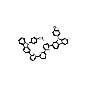 Cc1ccc(-n2c3ccccc3c3ccc(-c4cccc(-c5cccc(-c6cccc(-c7ccc8c9ccccc9n(-c9ccc(C)cc9)c8c7)n6)n5)n4)cc32)cc1